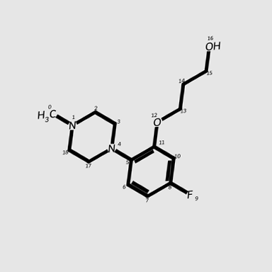 CN1CCN(c2ccc(F)cc2OCCCO)CC1